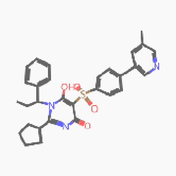 CCC(c1ccccc1)n1c(C2CCCC2)nc(=O)c(S(=O)(=O)c2ccc(-c3cncc(C)c3)cc2)c1O